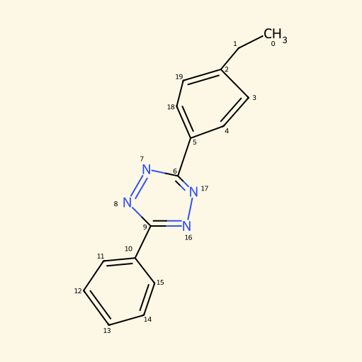 CCc1ccc(-c2nnc(-c3ccccc3)nn2)cc1